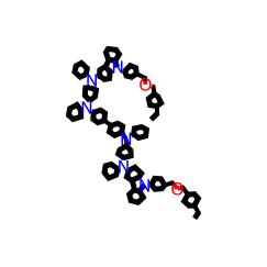 C=Cc1ccc(COCc2ccc(-n3c4ccccc4c4cc(N(c5ccccc5)c5ccc(N(c6ccccc6)c6ccc(-c7ccc(N(c8ccccc8)c8ccc(N(c9ccccc9)c9ccc%10c(c9)c9ccccc9n%10-c9ccc(COCc%10ccc(C=C)cc%10)cc9)cc8)cc7)cc6)cc5)ccc43)cc2)cc1